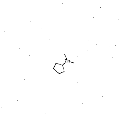 [CH3][Zn]([CH3])[CH]1CCCC1